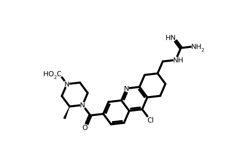 C[C@H]1CN(C(=O)O)CCN1C(=O)c1ccc2c(Cl)c3c(nc2c1)CC(CNC(=N)N)CC3